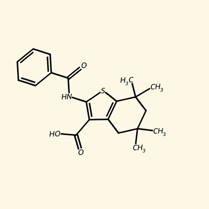 CC1(C)Cc2c(sc(NC(=O)c3ccccc3)c2C(=O)O)C(C)(C)C1